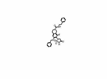 O=C1CN(c2c(OCc3ccccc3)cc3c(c2F)CN(C(=O)NCCc2ccccc2)CC3)S(=O)(=O)N1